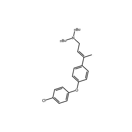 CCCCN(CC=C(C)c1ccc(Oc2ccc(Cl)cc2)cc1)CCCC